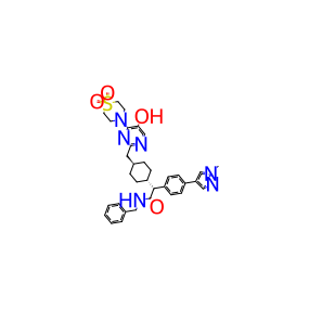 Cn1cc(-c2ccc(C(C(=O)NCc3ccccc3)[C@H]3CC[C@H](Cc4ncc(O)c(N5CCS(=O)(=O)CC5)n4)CC3)cc2)cn1